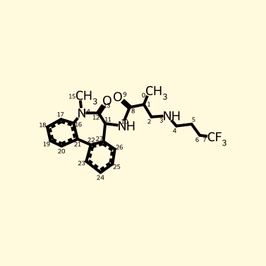 CC(CNCCCC(F)(F)F)C(=O)NC1C(=O)N(C)c2ccccc2-c2ccccc21